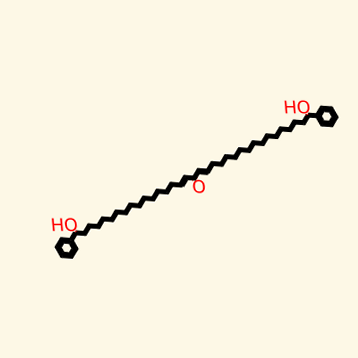 O=C(C=CCCCCCCCCCCCCCCC(O)c1ccccc1)C=CCCCCCCCCCCCCCCC(O)c1ccccc1